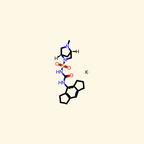 CN1C[C@@H]2C[C@H]1CN2S(=O)(=O)NC(=O)Nc1c2c(cc3c1CCC3)CCC2.[K]